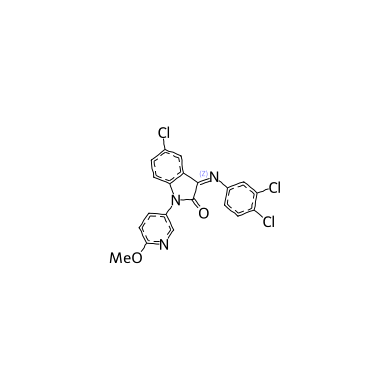 COc1ccc(N2C(=O)/C(=N\c3ccc(Cl)c(Cl)c3)c3cc(Cl)ccc32)cn1